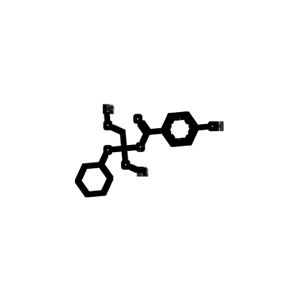 CCOCC(OCC)(OC(=O)c1ccc(O)cc1)OC1CCCCC1